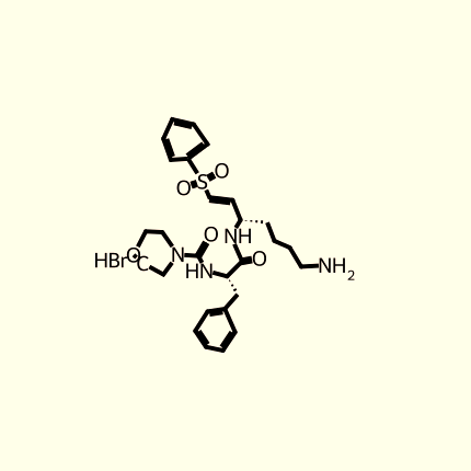 Br.NCCCC[C@@H](/C=C/S(=O)(=O)c1ccccc1)NC(=O)[C@H](Cc1ccccc1)NC(=O)N1CCOCC1